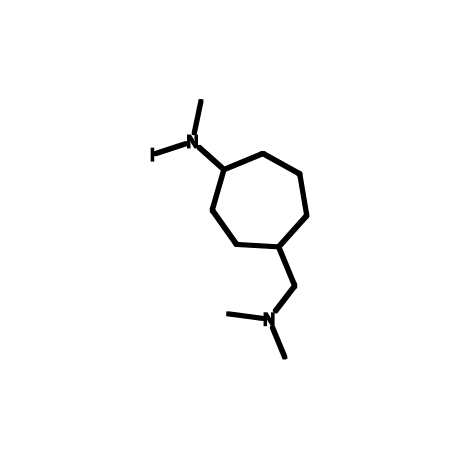 CN(C)CC1CCCC(N(C)I)CC1